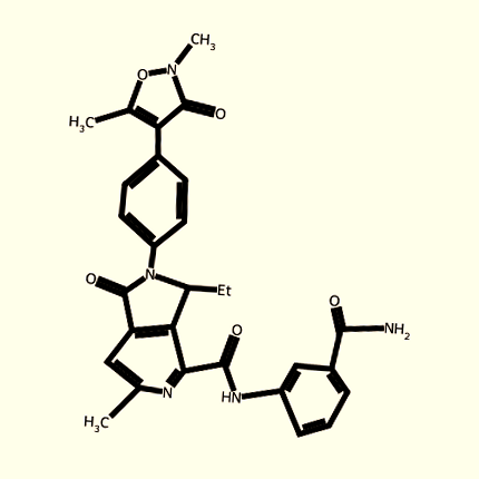 CCC1c2c(cc(C)nc2C(=O)Nc2cccc(C(N)=O)c2)C(=O)N1c1ccc(-c2c(C)on(C)c2=O)cc1